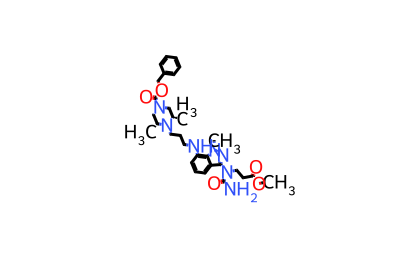 COC(=O)CCN(C(N)=O)c1nn(C)c2c(NCCCN3[C@H](C)CN(C(=O)OCc4ccccc4)C[C@@H]3C)cccc12